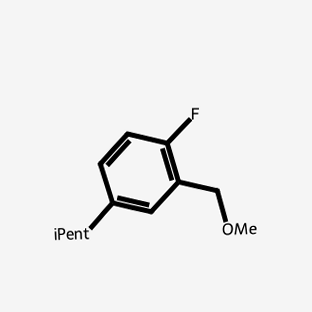 CCCC(C)c1ccc(F)c(COC)c1